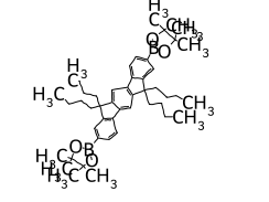 CCCCC1(CCCC)c2cc(B3OC(C)(C)C(C)(C)O3)ccc2-c2cc3c(cc21)-c1ccc(B2OC(C)(C)C(C)(C)O2)cc1C3(CCCC)CCCC